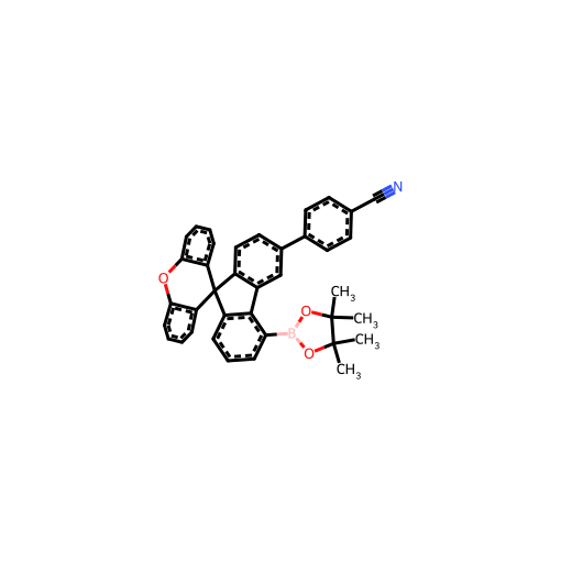 CC1(C)OB(c2cccc3c2-c2cc(-c4ccc(C#N)cc4)ccc2C32c3ccccc3Oc3ccccc32)OC1(C)C